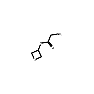 NCC(=O)OC1COC1